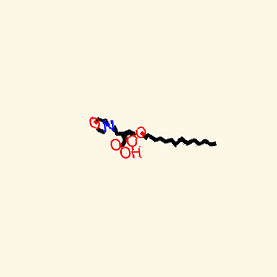 CCCCCCCCCCCCCCOc1cc(CCN2CCOCC2)c(C(=O)O)o1